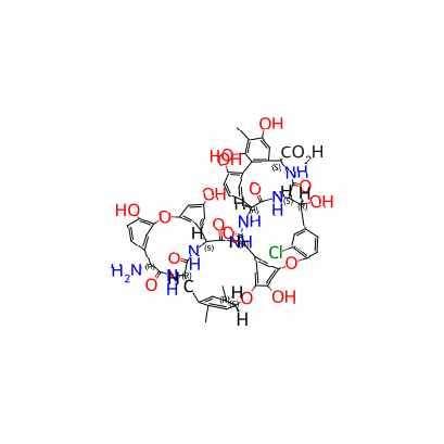 CC1=C[C@H]2Oc3cc4cc(c3O)Oc3ccc(cc3Cl)[C@@H](O)[C@@H]3NC(=O)[C@H](NC(=O)[C@@H]4NC(=O)[C@H]4NC(=O)[C@@H](CC1=C[C@H]2C)NC(=O)[C@H](N)c1ccc(O)c(c1)Oc1cc(O)cc4c1)c1ccc(O)c(c1)-c1c(cc(O)c(C)c1O)[C@@H](C(=O)O)NC3=O